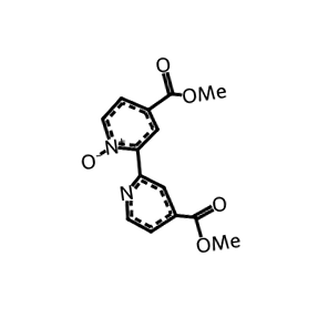 COC(=O)c1ccnc(-c2cc(C(=O)OC)cc[n+]2[O-])c1